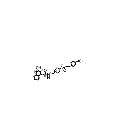 COc1ccc(CCC(=O)NC2CCN(CCNC(=O)Nc3cc(C)nc4ccccc34)CC2)cc1